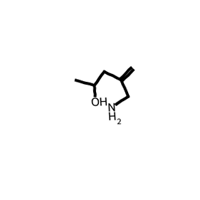 C=C(CN)CC(C)O